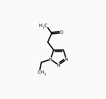 CCn1nncc1CC(C)=O